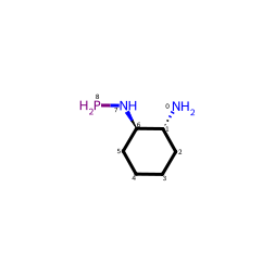 N[C@@H]1CCCC[C@H]1NP